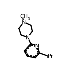 CC(C)c1cccc(N2CCN(C)CC2)n1